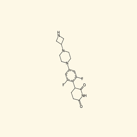 O=C1CCC(c2c(F)cc(N3CCN(C4CNC4)CC3)cc2F)C(=O)N1